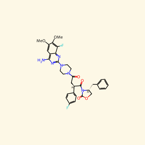 COc1cc2c(N)nc(N3CCN(C(=O)C[C@@H](C(=O)N4C(=O)OC[C@H]4Cc4ccccc4)c4ccc(F)cc4)CC3)nc2c(F)c1OC